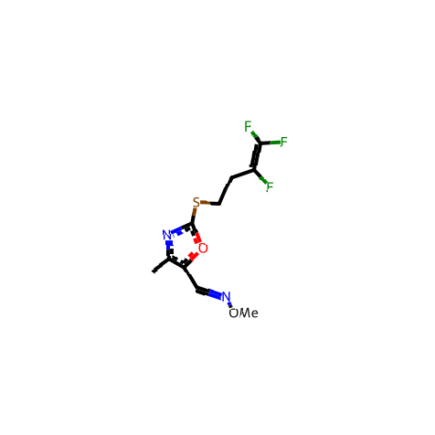 CO/N=C/c1oc(SCCC(F)=C(F)F)nc1C